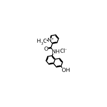 C[n+]1ccccc1C(=O)Nc1cccc2cc(O)ccc12.[Cl-]